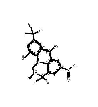 CCCN(c1c(Cl)cc(C(F)(F)F)cc1Cl)c1c([N+](=O)[O-])cc([N+](=O)[O-])cc1C(F)(F)F